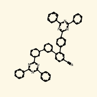 N#Cc1ccc(-c2cccc(-c3cccc(-c4nc(-c5ccccc5)nc(-c5ccccc5)n4)c3)c2)c(-c2ccc(-c3nc(-c4ccccc4)nc(-c4ccccc4)n3)cc2)c1